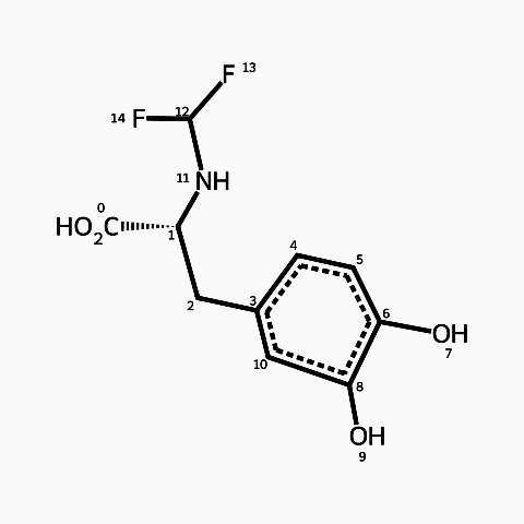 O=C(O)[C@@H](Cc1ccc(O)c(O)c1)NC(F)F